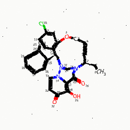 CC[C@@H]1/C=C/COc2cc(Cl)ccc2[C@H](c2ccccc2C)N2CN1C(=O)c1c(O)c(=O)ccn12